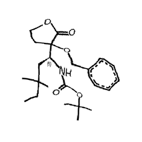 CCC(C)(C)C[C@H](NC(=O)OC(C)(C)C)C1(OCc2ccccc2)CCOC1=O